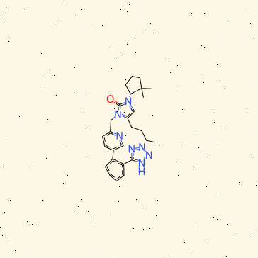 CCCCc1cn(C2CCCC2(C)C)c(=O)n1Cc1ccc(-c2ccccc2-c2nnn[nH]2)cn1